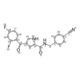 N#Cc1ccc(CNC(=O)c2cc(C(=O)c3ccc(F)cc3F)c[nH]2)cc1